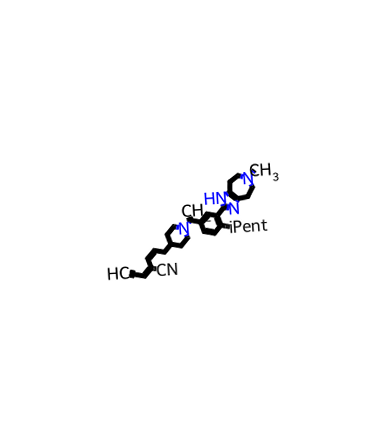 C#C/C=C(C#N)\C=C/CC1CCN(C(=C)c2ccc(C(C)CCC)c(-c3nc4c([nH]3)CCN(C)CC4)c2)CC1